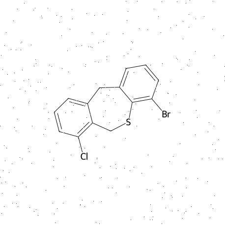 Clc1cccc2c1CSc1c(Br)cccc1C2